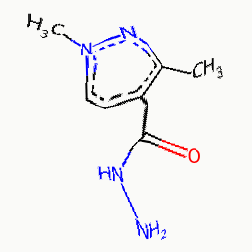 Cc1nn(C)cc1C(=O)NN